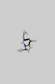 CCc1cc(Cl)c2onc(C)c2n1